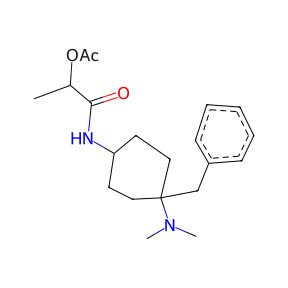 CC(=O)OC(C)C(=O)NC1CCC(Cc2ccccc2)(N(C)C)CC1